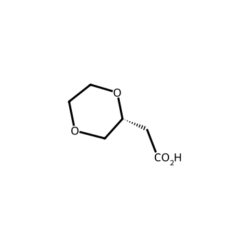 O=C(O)C[C@@H]1COCCO1